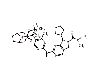 Cc1nc(Nc2ncc3cc(C(=O)N(C)C)n(C4CCCC4)c3n2)ccc1C(=O)N1CC2CCC(C1)N2C(=O)OC(C)(C)C